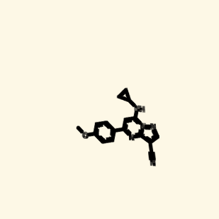 COc1ccc(-c2cc(NC3CC3)n3ncc(C#N)c3n2)cc1